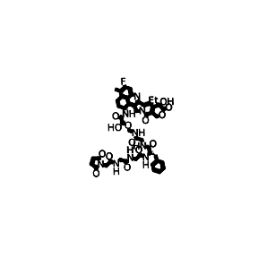 CC[C@@]1(O)C(=O)OCc2c1cc1n(c2=O)Cc2c-1nc1cc(F)c(C)c3c1c2[C@@H](NC(=O)[C@@H](O)OCNC(=O)CNC(=O)[C@H](Cc1ccccc1)NC(=O)CNC(=O)CNC(=O)CN1C(=O)C=CC1=O)CC3